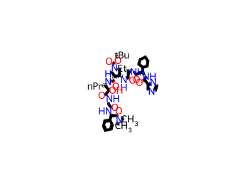 CCC[C@H](NC(=O)[C@@H]1CN(C(=O)OC(C)(C)C)C[C@@H]1NC(=O)[C@H](CC)NC(=O)[C@@H](NC(=O)c1cnccn1)C1CCCCC1)C(O)C(=O)NCC(=O)N[C@H](C(=O)N(C)C)c1ccccc1